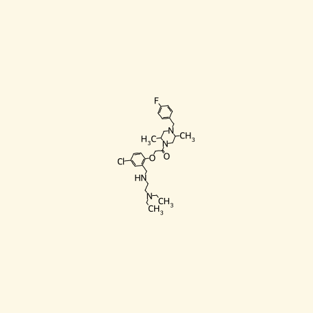 CCN(CC)CCNCc1cc(Cl)ccc1OCC(=O)N1CC(C)N(Cc2ccc(F)cc2)CC1C